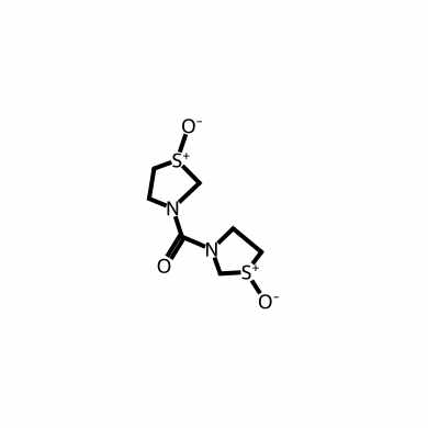 O=C(N1CC[S+]([O-])C1)N1CC[S+]([O-])C1